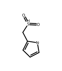 O=[SH](=O)CC1=CC=C[N]1